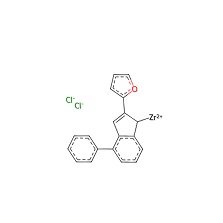 [Cl-].[Cl-].[Zr+2][CH]1C(c2ccco2)=Cc2c(-c3ccccc3)cccc21